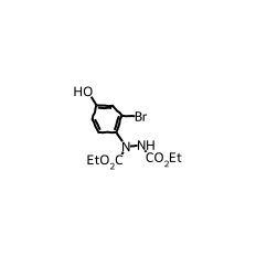 CCOC(=O)NN(C(=O)OCC)c1ccc(O)cc1Br